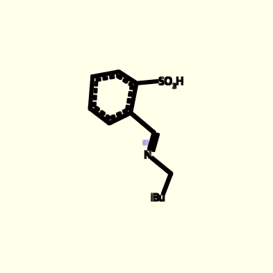 CCC(C)C/N=C/c1ccccc1S(=O)(=O)O